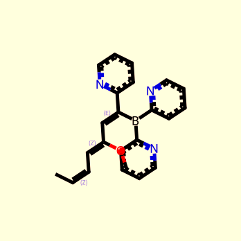 C\C=C/C=C(/C=C(\B(c1ccccn1)c1ccccn1)c1ccccn1)OC